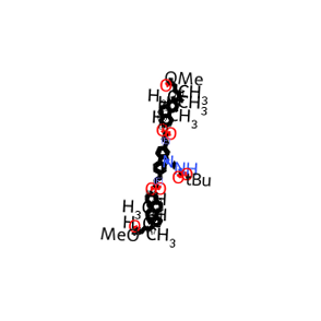 COC(=O)CC[C@@H](C)C(C)C1(C)CCC2[C@@H](CC[C@@H]3C[C@H](OC(=O)/C=C/c4ccc5c6ccc(/C=C/C(=O)O[C@@H]7CCC8(C)C9CCC%10(C)C([C@H](C)CCC(=O)OC)CC[C@H]%10[C@@H]9CC[C@@H]8C7)cc6n(CCNC(=O)OC(C)(C)C)c5c4)CCC23C)C1